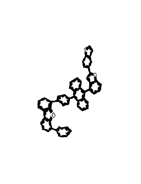 c1ccc(-c2cccc3c2oc2c(-c4ccc(-c5c6ccccc6c(-c6cccc7oc(-c8ccc9sccc9c8)cc67)c6ccccc56)cc4)cccc23)cc1